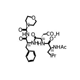 CC(=O)N[C@@H](CC(C)C)C(=O)N[C@@H](CC(=O)O)C(=O)N[C@@H](Cc1ccccc1)C(=O)NC(=O)N1CCOCC1